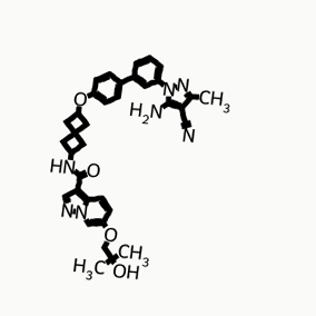 Cc1nn(-c2cccc(-c3ccc(OC4CC5(CC(NC(=O)c6cnn7cc(OCC(C)(C)O)ccc67)C5)C4)cc3)c2)c(N)c1C#N